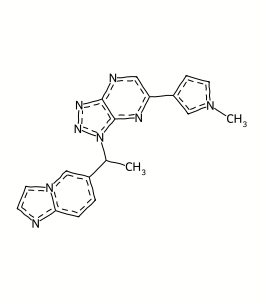 CC(c1ccc2nccn2c1)n1nnc2ncc(-c3ccn(C)c3)nc21